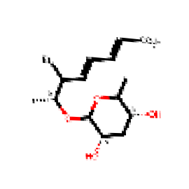 CCC(C=CC=CC(=O)O)[C@@H](C)OC1OC(C)[C@H](O)C[C@@H]1O